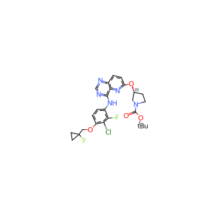 CC(C)(C)OC(=O)N1CC[C@H](Oc2ccc3ncnc(Nc4ccc(OCC5(F)CC5)c(Cl)c4F)c3n2)C1